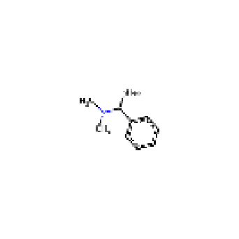 CCCCCCC(c1ccccc1)N(C)C